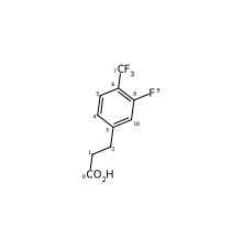 O=C(O)CCc1ccc(C(F)(F)F)c(F)c1